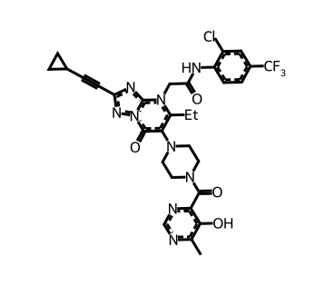 CCc1c(N2CCN(C(=O)c3ncnc(C)c3O)CC2)c(=O)n2nc(C#CC3CC3)nc2n1CC(=O)Nc1ccc(C(F)(F)F)cc1Cl